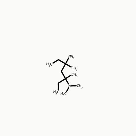 CCC(C)(N)CC(C)(CC)N(C)C